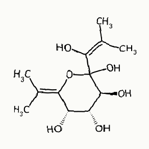 CC(C)=C1OC(O)(C(O)=C(C)C)[C@@H](O)[C@H](O)[C@@H]1O